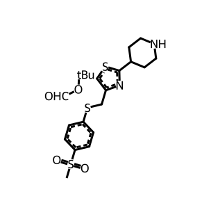 CC(C)(C)OC=O.CS(=O)(=O)c1ccc(SCc2csc(C3CCNCC3)n2)cc1